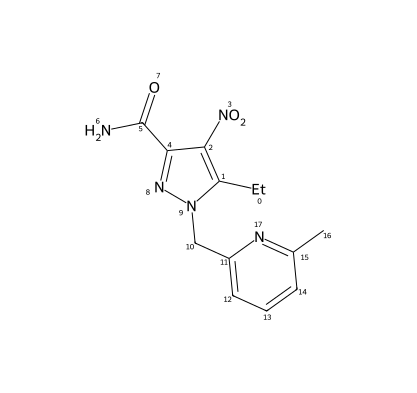 CCc1c([N+](=O)[O-])c(C(N)=O)nn1Cc1cccc(C)n1